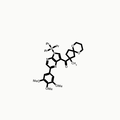 COc1cc(-c2cnc3c(n2)c(C(=O)C2(C)CCC4(C2)OCCCO4)cn3[Si](C(C)C)(C(C)C)C(C)C)cc(OC)c1OC